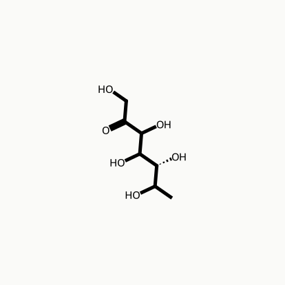 CC(O)[C@@H](O)C(O)C(O)C(=O)CO